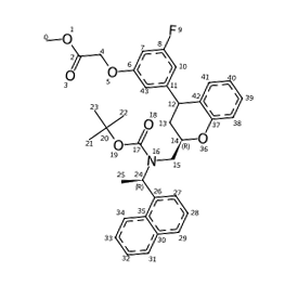 COC(=O)COc1cc(F)cc(C2C[C@H](CN(C(=O)OC(C)(C)C)[C@H](C)c3cccc4ccccc34)Oc3ccccc32)c1